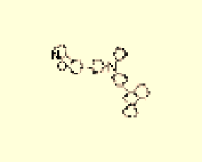 c1ccc(N(c2ccc(-c3ccc4oc5ncccc5c4c3)cc2)c2ccc(-c3cc4ccccc4c4ccccc34)cc2)cc1